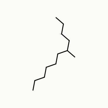 CC[CH]CC(C)CCCCCC